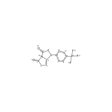 O=C1CC=C2C(c3ccc(C(F)(F)F)cc3)CC(=O)N12